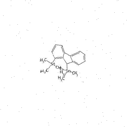 [CH3][Sn]([CH3])([CH3])[c]1cccc2c1[CH]([Sn]([CH3])([CH3])[CH3])c1ccccc1-2